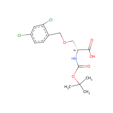 CC(C)(C)OC(=O)N[C@H](COCc1ccc(Cl)cc1Cl)C(=O)O